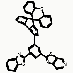 c1ccc2c(c1)Sc1ccccc1C21c2ccccc2-c2cc(-c3cc(-c4nc5ccccc5s4)cc(-c4nc5ccncc5s4)c3)ccc21